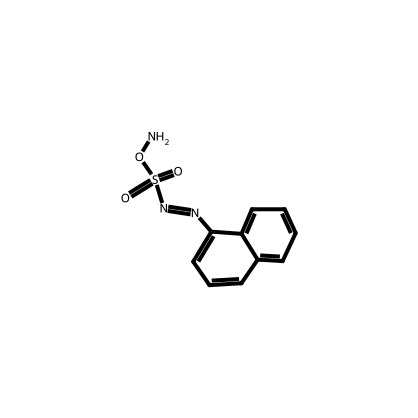 NOS(=O)(=O)N=Nc1cccc2ccccc12